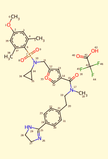 COc1cc(C)c(S(=O)(=O)N(Cc2cc(C(=O)N(C)CCc3ccc(C4=NCCN4)cc3)co2)C2CC2)c(C)c1.O=C(O)C(F)(F)F